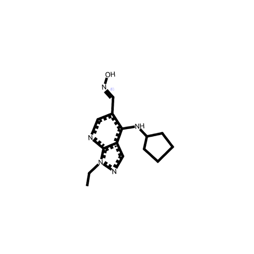 CCn1ncc2c(NC3CCCC3)c(/C=N/O)cnc21